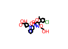 CC(=O)c1ccc(Cl)cc1-c1cc(=O)n(C(Cc2ccccc2)C(=O)Nc2ccc(C(=O)O)cc2)nc1OCCO